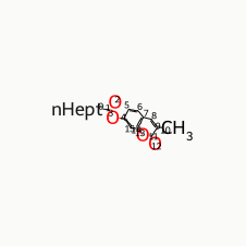 CCCCCCCC(=O)Oc1ccc2cc(C)c(=O)oc2c1